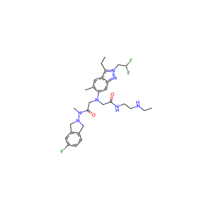 CCNCCNC(=O)CN(CC(=O)N(C)N1Cc2ccc(F)cc2C1)c1cc2nn(CC(F)F)c(CC)c2cc1C